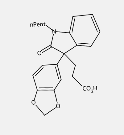 CCCCCN1C(=O)C(CCC(=O)O)(c2ccc3c(c2)OCO3)c2ccccc21